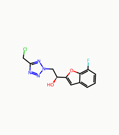 O[C@@H](Cn1nnc(CCl)n1)c1cc2cccc(F)c2o1